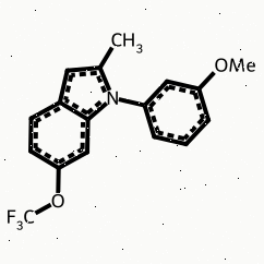 COc1cccc(-n2c(C)cc3ccc(OC(F)(F)F)cc32)c1